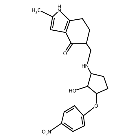 Cc1cc2c([nH]1)CCC(CNC1CCC(Oc3ccc([N+](=O)[O-])cc3)C1O)C2=O